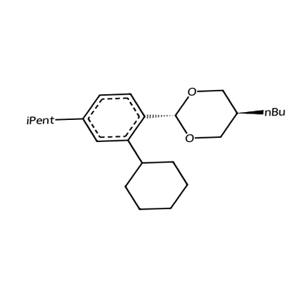 CCCC[C@H]1CO[C@H](c2ccc(C(C)CCC)cc2C2CCCCC2)OC1